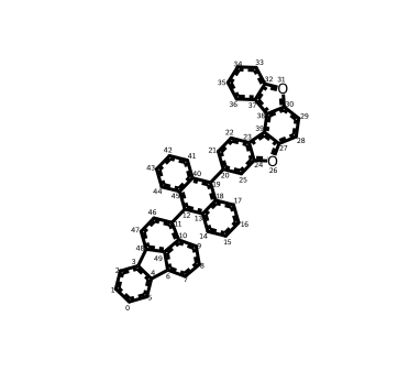 c1ccc2c(c1)-c1cccc3c(-c4c5ccccc5c(-c5ccc6c(c5)oc5ccc7oc8ccccc8c7c56)c5ccccc45)ccc-2c13